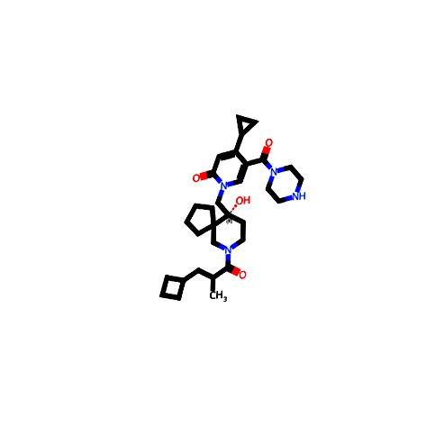 CC(CC1CCC1)C(=O)N1CC[C@](O)(Cn2cc(C(=O)N3CCNCC3)c(C3CC3)cc2=O)C2(CCCC2)C1